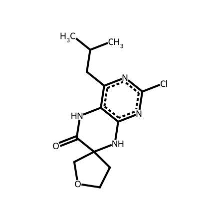 CC(C)Cc1nc(Cl)nc2c1NC(=O)C1(CCOC1)N2